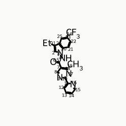 CCc1cn(NC(=O)c2cnc(-c3ccccn3)nc2C)c2ccc(C(F)(F)F)cc12